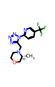 C[C@@H]1COCCN1Cc1nnnn1-c1ccc(C(F)(F)F)cn1